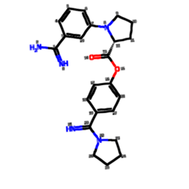 N=C(N)c1cccc(N2CCC[C@@H]2C(=O)Oc2ccc(C(=N)N3CCCC3)cc2)c1